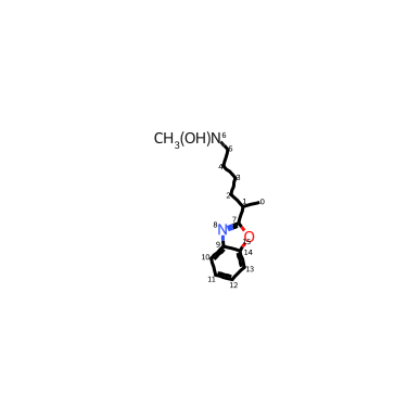 CC(CCCCN(C)O)c1nc2ccccc2o1